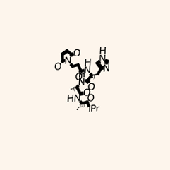 CC(C)C(=O)[C@H](C)NC(=O)[C@H](C)NC(=O)[C@H](Cc1c[nH]cn1)NC(=O)CCN1C(=O)C=CC1=O